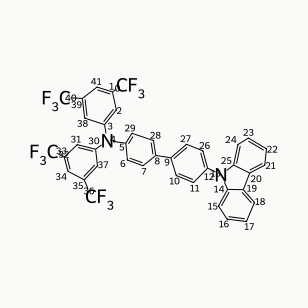 FC(F)(F)c1cc(N(c2ccc(-c3ccc(-n4c5ccccc5c5ccccc54)cc3)cc2)c2cc(C(F)(F)F)cc(C(F)(F)F)c2)cc(C(F)(F)F)c1